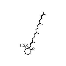 CCOC(=O)C1(C/C=C(\C)CC/C=C(\C)CC/C=C(\C)CCC=C(C)C)CCCCCC1=O